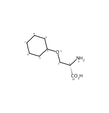 N[C@@H](COC1CCCCC1)C(=O)O